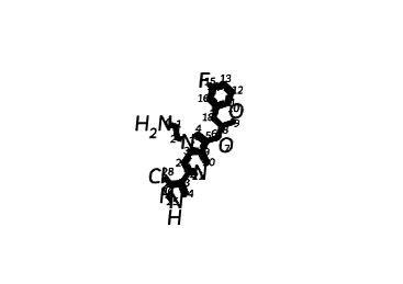 NCCn1cc(C(=O)C2COc3ccc(F)cc3C2)c2cnc(-c3c[nH]nc3Cl)cc21